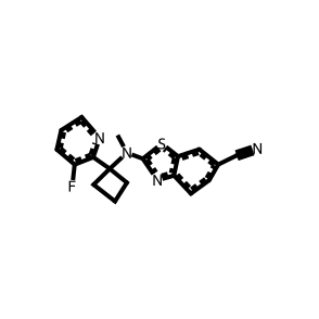 CN(c1nc2ccc(C#N)cc2s1)C1(c2ncccc2F)CCC1